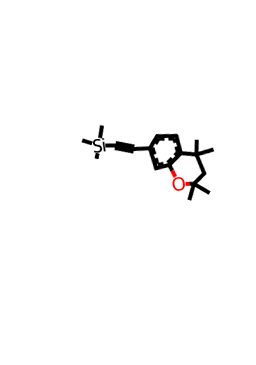 CC1(C)CC(C)(C)c2ccc(C#C[Si](C)(C)C)cc2O1